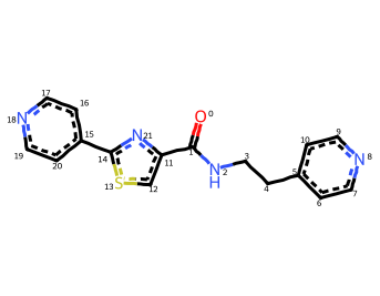 O=C(NCCc1ccncc1)c1csc(-c2ccncc2)n1